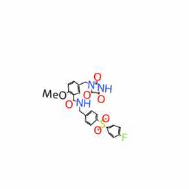 COc1ccc(CN2C(=O)NC(=O)C2=O)cc1C(=O)NCc1ccc(S(=O)(=O)c2ccc(F)cc2)cc1